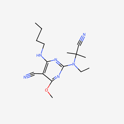 CCCCNc1nc(N(CC)C(C)(C)C#N)nc(OC)c1C#N